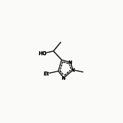 CCc1nn(C)nc1C(C)O